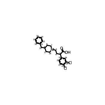 O=C(O)C(CCN1CCC(Cc2ccccc2)CC1)c1ccc(Cl)c(Cl)c1